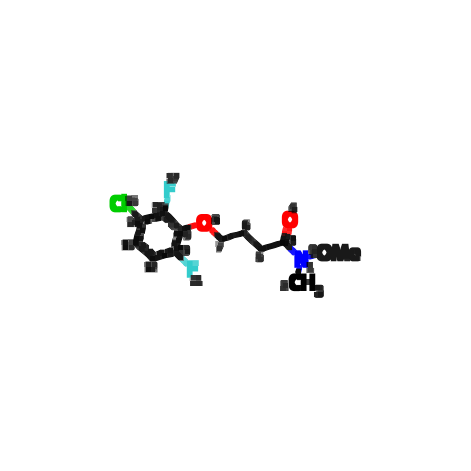 CON(C)C(=O)CCCOc1c(F)ccc(Cl)c1F